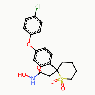 O=C(CC1(c2ccc(Oc3ccc(Cl)cc3)cc2)CCCCS1(=O)=O)NO